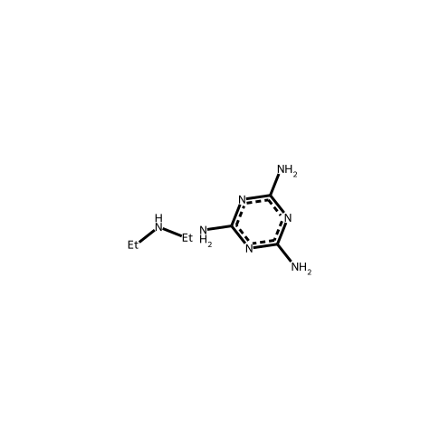 CCNCC.Nc1nc(N)nc(N)n1